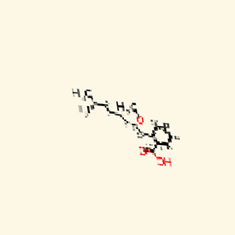 COC(CCCCC(C)C)Cc1ccccc1C(=O)O